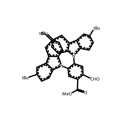 COC(=O)c1cc(-n2c3ccc(C(C)(C)C)cc3c3cc(C(C)(C)C)ccc32)c(-n2c3ccc(C(C)(C)C)cc3c3cc(C(C)(C)C)ccc32)cc1C=O